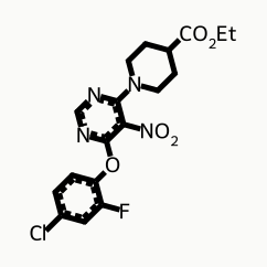 CCOC(=O)C1CCN(c2ncnc(Oc3ccc(Cl)cc3F)c2[N+](=O)[O-])CC1